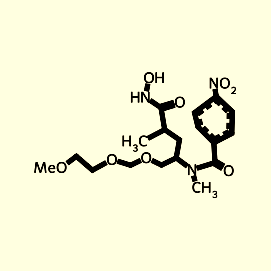 COCCOCOCC(CC(C)C(=O)NO)N(C)C(=O)c1ccc([N+](=O)[O-])cc1